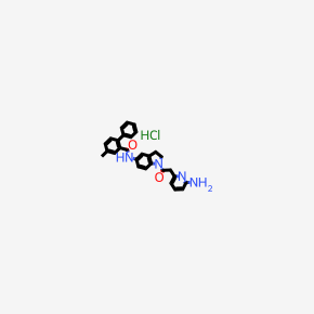 Cc1ccc(-c2ccccc2)c(C(=O)Nc2ccc3c(c2)CCN3C(=O)Cc2cccc(N)n2)c1.Cl